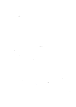 COC(=O)COc1cc(OC)c(SCc2sc(-c3ccc(C(F)(F)F)cc3)nc2C)cc1C